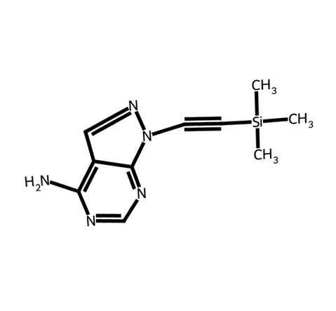 C[Si](C)(C)C#Cn1ncc2c(N)ncnc21